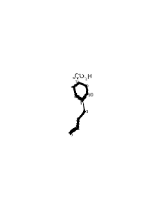 C=CCC[C@H]1CC[C@H](C(=O)O)CC1